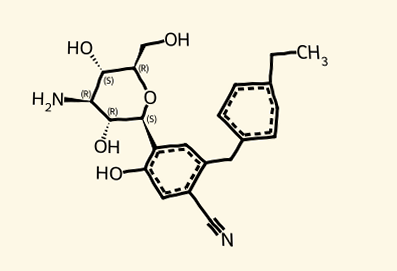 CCc1ccc(Cc2cc([C@@H]3O[C@H](CO)[C@@H](O)[C@H](N)[C@H]3O)c(O)cc2C#N)cc1